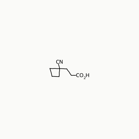 N#CC1(CCC(=O)O)CCC1